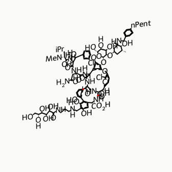 CCCCCc1ccc(CNC2(C)C[C@H](O[C@@H]3C(O)C(O)[C@@H](CO)O[C@H]3Oc3c4cc5cc3Oc3ccc(cc3Cl)[C@@H](O)[C@@H](NC(=O)[C@@H](CC(C)C)NC)C(=O)N[C@@H](CC(N)=O)C(=O)N[C@H]5C(=O)N[C@@H]3C(=O)N[C@H](C(=O)N[C@H](C(=O)O)c5cc(O)c(CNCCCNC(=O)[C@H](O)[C@@H](O)[C@H](O)[C@H](O)CO)c(O)c5-c5cc3ccc5O)[C@H](O)c3ccc(c(Cl)c3)O4)C[C@@H](C)[C@H]2O)cc1